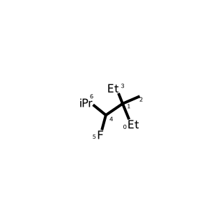 CCC(C)(CC)C(F)C(C)C